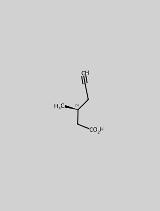 C#CC[C@H](C)CC(=O)O